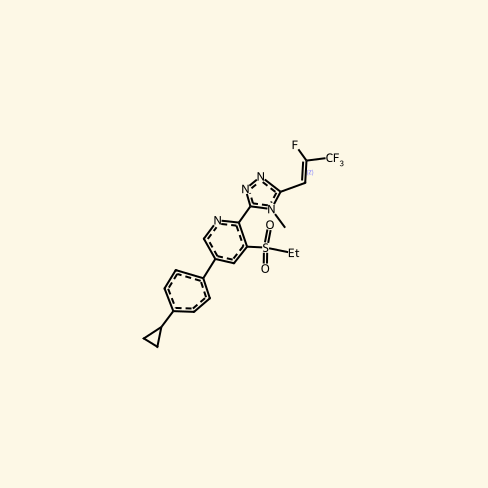 CCS(=O)(=O)c1cc(-c2ccc(C3CC3)cc2)cnc1-c1nnc(/C=C(\F)C(F)(F)F)n1C